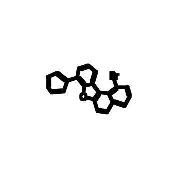 Brc1cccc2ccc3oc4c(-c5ccccc5)cccc4c3c12